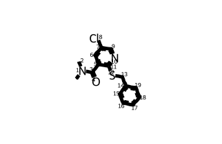 CN(C)C(=O)c1cc(Cl)cnc1SCc1ccccc1